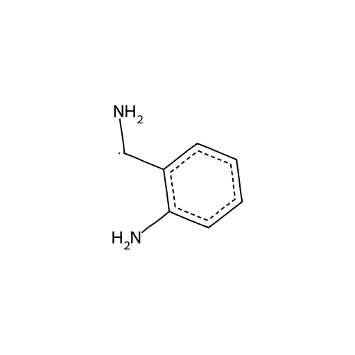 N[CH]c1ccccc1N